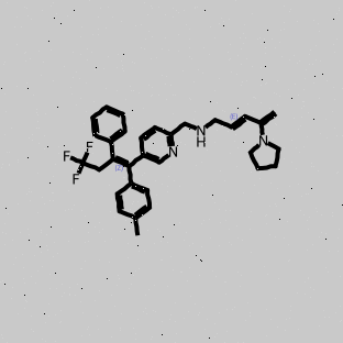 C=C(/C=C/CNCc1ccc(/C(=C(/CC(F)(F)F)c2ccccc2)c2ccc(C)cc2)cn1)N1CCCC1